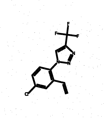 C=Cc1cc(Cl)ccc1-n1cc(C(F)(F)F)nn1